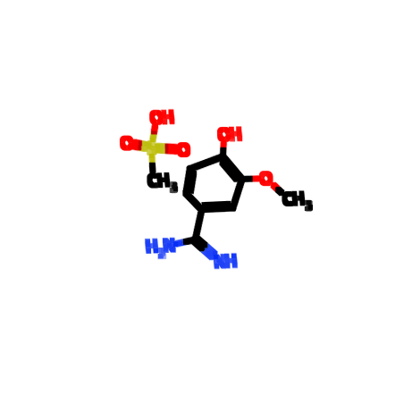 COc1cc(C(=N)N)ccc1O.CS(=O)(=O)O